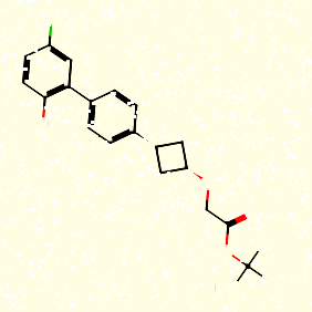 CC(C)(C)OC(=O)CO[C@H]1C[C@@H](c2ccc(-c3cc(Cl)ccc3O)cc2)C1